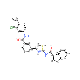 COc1ccc(NC(=O)c2cccc(-c3csc(NC(=O)C4CCc5ccccc54)n3)c2)cc1Cl